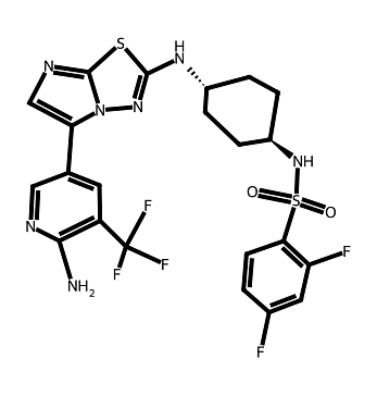 Nc1ncc(-c2cnc3sc(N[C@H]4CC[C@H](NS(=O)(=O)c5ccc(F)cc5F)CC4)nn23)cc1C(F)(F)F